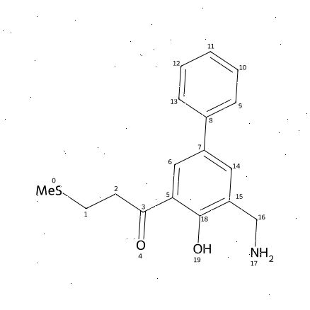 CSCCC(=O)c1cc(-c2ccccc2)cc(CN)c1O